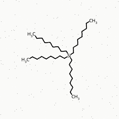 CCCCCCCCC[Si](CCCCCCCCC)(CCCCCCCCC)CCCCCCCCC